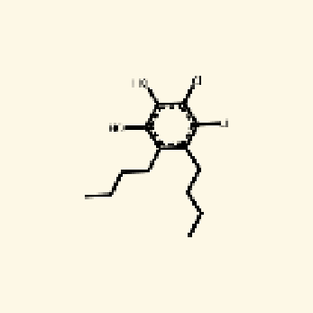 CCCCc1c(O)c(O)c(Cl)c(Cl)c1CCCC